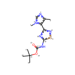 Cc1ncn(C)c1-c1nsc(NC(=O)OC(C)(C)C)n1